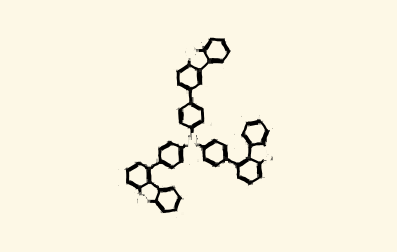 c1ccc2c(c1)oc1ccc(-c3ccc(N(c4ccc(-c5cccc6oc7ccccc7c56)cc4)c4ccc(-c5cccc6sc7ccccc7c56)cc4)cc3)cc12